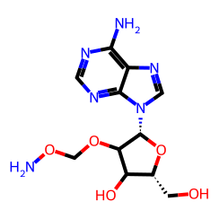 NOCOC1C(O)[C@@H](CO)O[C@H]1n1cnc2c(N)ncnc21